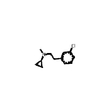 CN(CCc1cccc(Cl)c1)C1CC1